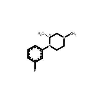 C[C@@H]1CN(C)CCN1c1cccc(F)c1